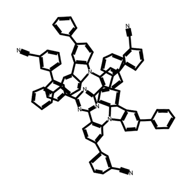 N#Cc1cccc(-c2cccc(-c3nc(-c4ccc(-c5cccc(C#N)c5)cc4-n4c5ccc(-c6ccccc6)cc5c5cc(-c6ccccc6)ccc54)nc(-c4ccc(-c5cccc(C#N)c5)cc4-n4c5ccc(-c6ccccc6)cc5c5cc(-c6ccccc6)ccc54)n3)c2)c1